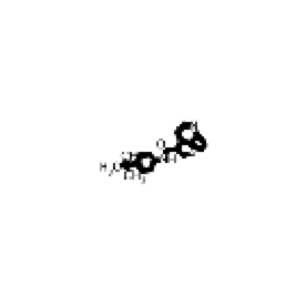 CC(C)(C)c1ccc(NC(=O)C2CSC34CC=CC=C3N=CCC24)cc1